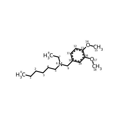 CCCCCCN(CC)Cc1ccc(OC)c(OC)c1